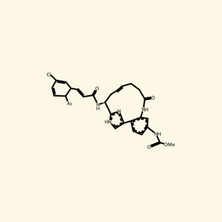 COC(=O)Nc1ccc2c(c1)NC(=O)CC/C=C/C[C@H](NC(=O)/C=C/C1C=C(Cl)C=CC1C(C)=O)c1nc-2c[nH]1